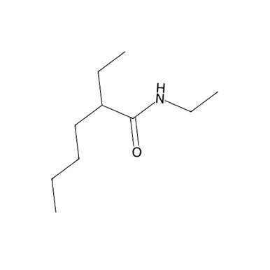 CCCCC(CC)C(=O)NCC